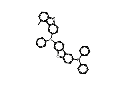 Cc1cccc2sc3ccc(N(c4ccccc4)c4ccc5c(c4)oc4ccc(N(c6ccccc6)c6ccccc6)cc45)cc3c12